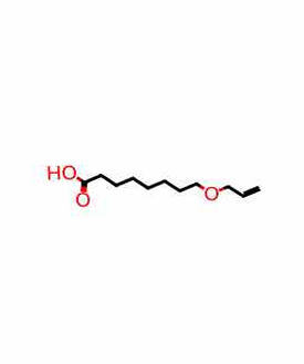 C=CCOCCCCCCCC(=O)O